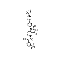 CC(C)(C)CC(=O)N1CC=C(c2cccc(C3(c4nc5c(c(=O)[nH]4)CN(C(=O)C(O)c4cccc(C(F)(F)F)c4)CCC5)CC3)c2)CC1